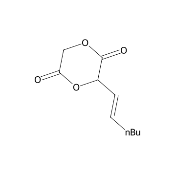 CCCCC=CC1OC(=O)COC1=O